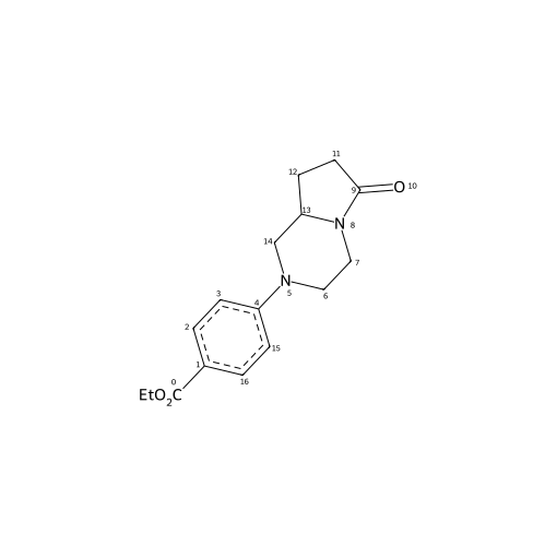 CCOC(=O)c1ccc(N2CCN3C(=O)CCC3C2)cc1